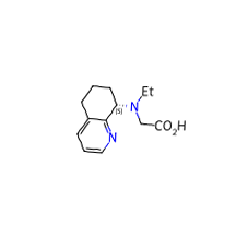 CCN(CC(=O)O)[C@H]1CCCc2cccnc21